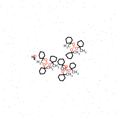 CC1(OP(OC2(C)CCCCC2)OC2(C)CCCCC2)CCCCC1.CC1(OP(OC2(C)CCCCC2)OC2(C)CCCCC2)CCCCC1.CC1(OP(OC2(C)CCCCC2)OC2(C)CCCCC2)CCCCC1.[C]=O.[Ni]